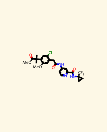 COC(=O)C(C)(C)c1cc(Cl)c(CC(=O)Nc2ccnc(C(=O)NC3(C(F)(F)F)CC3)c2)cc1OC